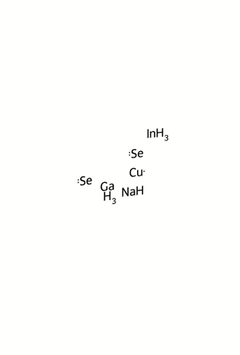 [Cu].[GaH3].[InH3].[NaH].[Se].[Se]